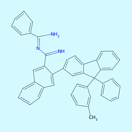 Cc1cccc(C2(c3ccccc3)c3ccccc3-c3ccc(-c4cc5ccccc5cc4C(=N)/N=C(\N)c4ccccc4)cc32)c1